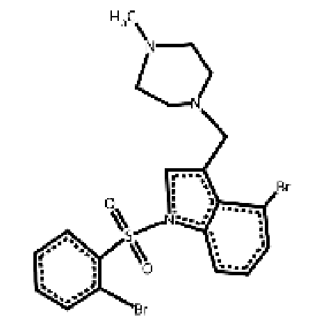 CN1CCN(Cc2cn(S(=O)(=O)c3ccccc3Br)c3cccc(Br)c23)CC1